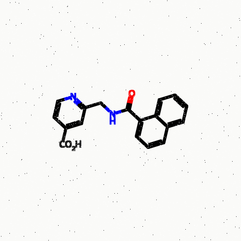 O=C(O)c1ccnc(CNC(=O)c2cccc3ccccc23)c1